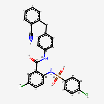 N#Cc1ccccc1Cc1ccc(NC(=O)c2cc(Cl)ccc2NS(=O)(=O)c2ccc(Cl)cc2)cc1